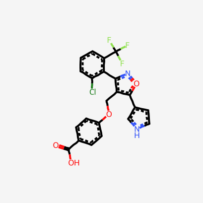 O=C(O)c1ccc(OCc2c(-c3c(Cl)cccc3C(F)(F)F)noc2-c2cc[nH]c2)cc1